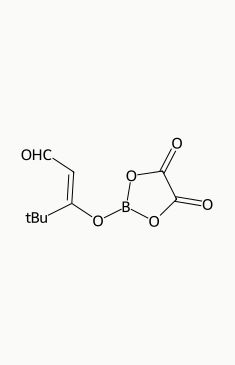 CC(C)(C)C(=CC=O)OB1OC(=O)C(=O)O1